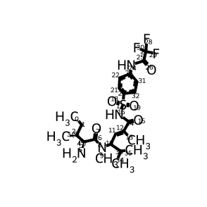 CC[C@H](C)[C@H](N)C(=O)N(C)C(C=C(C)C(=O)NS(=O)(=O)c1ccc(NC(=O)C(F)(F)F)cc1)C(C)C